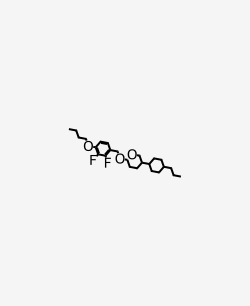 CCCCOc1ccc(COC2CCC(C3CCC(CCC)CC3)CO2)c(F)c1F